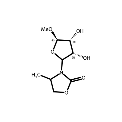 CO[C@@H]1OC(N2C(=O)OCC2C)[C@@H](O)[C@H]1O